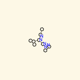 c1ccc(-c2ccc(-c3cc(-c4cc5ccccc5c5ccccc45)cc(-c4ccc(-n5c6ccccc6c6cccnc65)nc4)n3)nc2)cc1